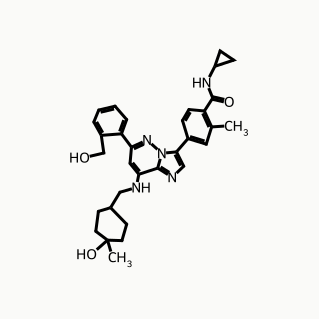 Cc1cc(-c2cnc3c(NCC4CCC(C)(O)CC4)cc(-c4ccccc4CO)nn23)ccc1C(=O)NC1CC1